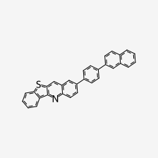 c1ccc2cc(-c3ccc(-c4ccc5nc6c(cc5c4)sc4ccccc46)cc3)ccc2c1